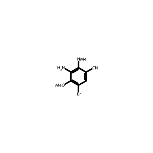 CNc1c(C#N)cc(Br)c(OC)c1N